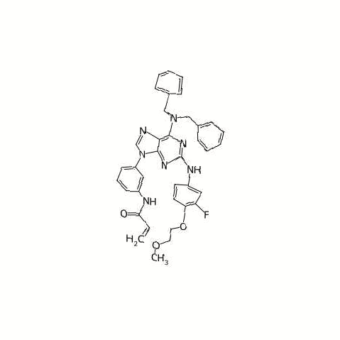 C=CC(=O)Nc1cccc(-n2cnc3c(N(Cc4ccccc4)Cc4ccccc4)nc(Nc4ccc(OCCOC)c(F)c4)nc32)c1